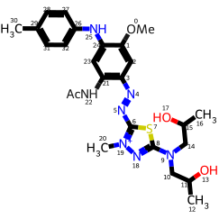 COc1cc(N=Nc2sc(N(CC(C)O)CC(C)O)n[n+]2C)c(NC(C)=O)cc1Nc1ccc(C)cc1